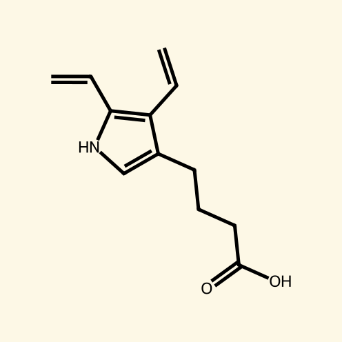 C=Cc1[nH]cc(CCCC(=O)O)c1C=C